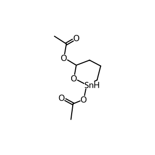 CC(=O)OC1CC[CH2][SnH]([O]C(C)=O)[O]1